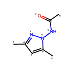 CC(=O)Nn1nc(C)cc1C